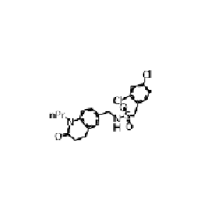 CCCN1C(=O)CCc2cc(CNS(=O)(=O)Cc3ccc(Cl)cc3Cl)ccc21